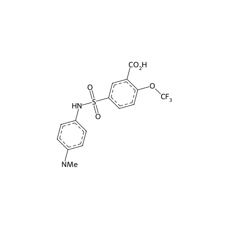 CNc1ccc(NS(=O)(=O)c2ccc(OC(F)(F)F)c(C(=O)O)c2)cc1